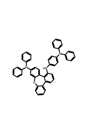 c1ccc(N(c2ccccc2)c2ccc(Nc3cccc4c3-c3ccc(N(c5ccccc5)c5ccccc5)cc3Oc3ccccc3-4)cc2)cc1